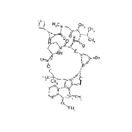 CCn1c(-c2cccnc2[C@H](C)OC)c2c3cc(ccc31)-c1cc(O)cc(c1)C[C@H](NC(=O)C(C(C)C)N(C)C(=O)CN(C)C(=O)[C@H]1NC1C1COC1)C(=O)N1CCC[C@H](N1)C(=O)OCC(C)(C)C2